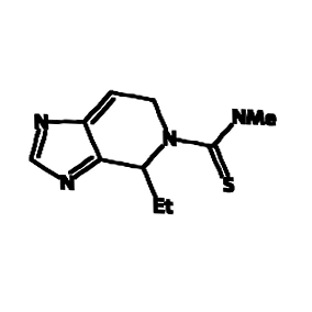 CCC1C2=NC=NC2=CCN1C(=S)NC